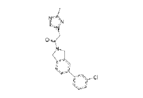 Cc1ncn(CC(=O)N2Cc3ccc(-c4cccc(Cl)c4)cc3C2)n1